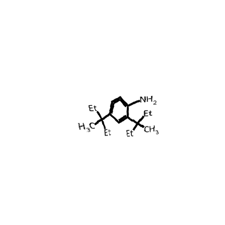 CCC(C)(CC)C1=C=C=C(N)C(C(C)(CC)CC)=C1